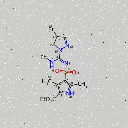 CCN/C(=N\S(=O)(=O)c1c(C)[nH]c(C(=O)OCC)c1C)N1CC(CC)C=N1